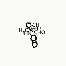 CC1(C)C=CCC1(C)C(=O)Nc1cc2c(cc1C=O)C1CCC2C1